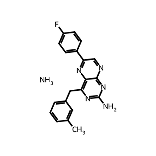 Cc1cccc(Cc2nc(N)nc3ncc(-c4ccc(F)cc4)nc23)c1.N